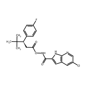 CC(C)(C)[C@H](CC(=O)ONC(=O)c1cc2cc(Cl)cnc2[nH]1)c1ccc(F)cc1